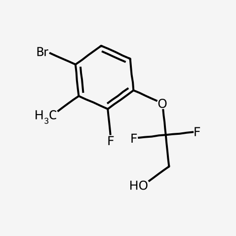 Cc1c(Br)ccc(OC(F)(F)CO)c1F